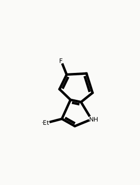 C[CH]c1c[nH]c2ccc(F)cc12